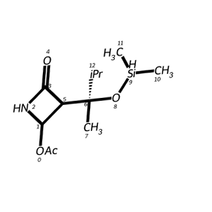 CC(=O)OC1NC(=O)C1[C@](C)(O[SiH](C)C)C(C)C